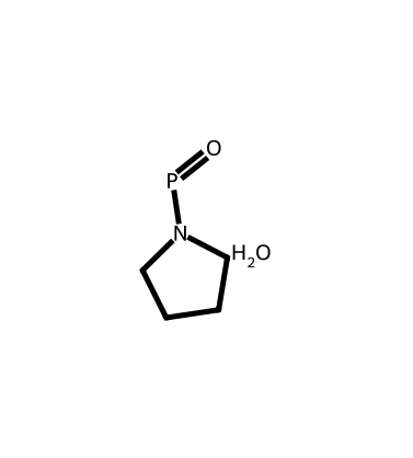 O.O=PN1CCCC1